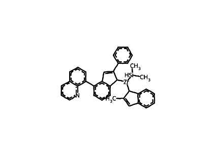 CC1=Cc2ccccc2[CH]1[Zr]([CH]1C(c2ccccc2)=Cc2c(-c3cccc4cccnc34)cccc21)[SiH](C)C